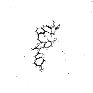 C[C@]1(c2cccc(Cn3c(=O)n(-c4nc5ccc(Cl)cc5s4)c4ccc(C(F)(F)F)cc43)c2)OC(=O)NC1=O